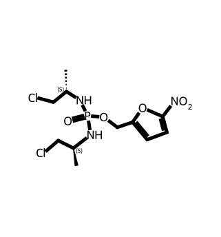 C[C@@H](CCl)NP(=O)(N[C@@H](C)CCl)OCc1ccc([N+](=O)[O-])o1